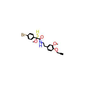 C#CCOc1ccc(CCNC(=O)C(S)(OC)c2ccc(Br)cc2)cc1OC